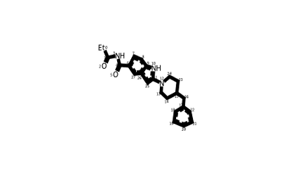 CCC(=O)NC(=O)c1ccc2[nH]c(N3CCC(Cc4ccccc4)CC3)cc2c1